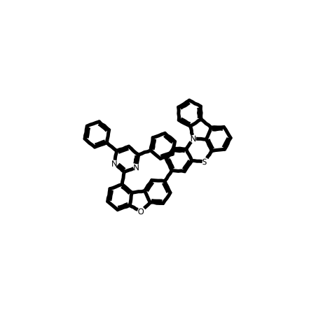 c1ccc(-c2cc(-c3ccccc3)nc(-c3cccc4oc5ccc(-c6ccc7c(c6)Sc6cccc8c9ccccc9n-7c68)cc5c34)n2)cc1